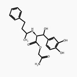 CC(CCc1ccccc1)N[C@H](C(=O)OCC(N)=O)C(O)c1ccc(O)c(O)c1